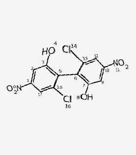 O=[N+]([O-])c1cc(O)c(-c2c(O)cc([N+](=O)[O-])cc2Cl)c(Cl)c1